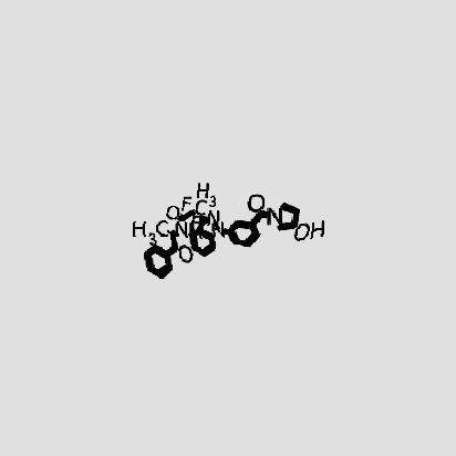 C[C@H](NC(=O)C(C)(F)F)[C@H](Oc1ccc2c(cnn2-c2cccc(C(=O)N3CC[C@@H](O)C3)c2)c1)c1ccccc1